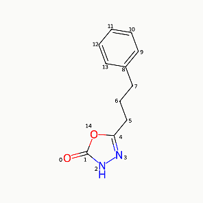 O=c1[nH]nc(CCCc2ccccc2)o1